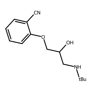 [CH2]C(C)(C)NCC(O)COc1ccccc1C#N